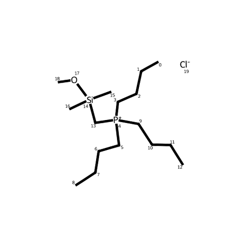 CCCC[P+](CCCC)(CCCC)C[Si](C)(C)OC.[Cl-]